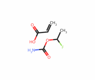 C=CC(=O)O.CC(F)OC(N)=O